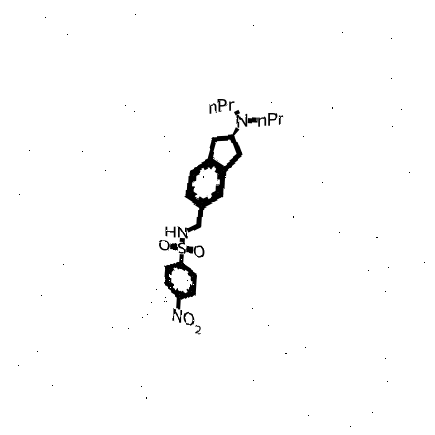 CCCN(CCC)[C@@H]1Cc2ccc(CNS(=O)(=O)c3ccc([N+](=O)[O-])cc3)cc2C1